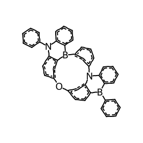 c1ccc(B2c3ccccc3N3c4cccc(c4)B4c5ccccc5N(c5ccccc5)c5ccc(cc54)Oc4ccc2c3c4)cc1